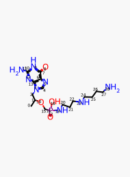 CC(Cn1cnc2c(=O)[nH]c(N)nc21)OCP(=O)(O)NCCCNCCCCN